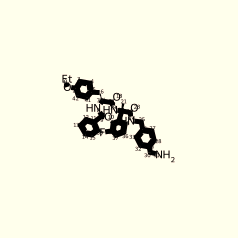 CCOc1ccc(C[C@@H](NC(=O)c2ccccc2)C(=O)N[C@](C)(C(=O)NCc2ccc(CN)cc2)c2cccc(F)c2)cc1